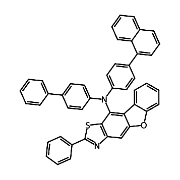 c1ccc(-c2ccc(N(c3ccc(-c4cccc5ccccc45)cc3)c3c4sc(-c5ccccc5)nc4cc4oc5ccccc5c34)cc2)cc1